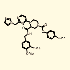 COc1ccc(OC(=O)N2CCN(c3ccnc(Cn4ccnc4)n3)C(C(=O)NCc3ccc(OC)c(OC)c3)C2)cc1